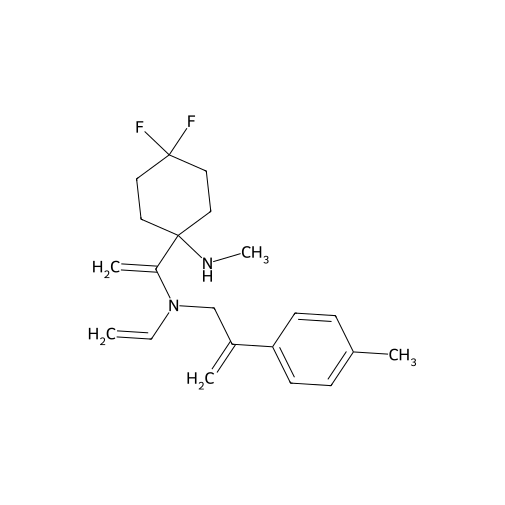 C=CN(CC(=C)c1ccc(C)cc1)C(=C)C1(NC)CCC(F)(F)CC1